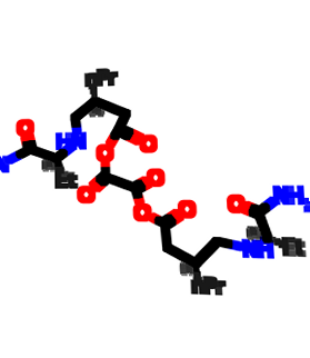 CCC[C@@H](CN[C@@H](CC)C(N)=O)CC(=O)OC(=O)C(=O)OC(=O)C[C@@H](CCC)CN[C@@H](CC)C(N)=O